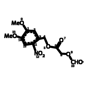 COc1cc(COC(=O)CO[C]=O)c([N+](=O)[O-])cc1OC